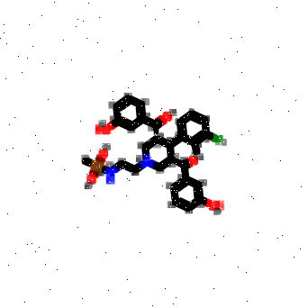 Cc1c(F)cccc1C1[C@@H](C(=O)c2cccc(O)c2)CN(CCNS(C)(=O)=O)C[C@@H]1C(=O)c1cccc(O)c1